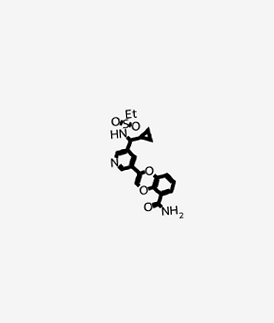 CCS(=O)(=O)NC(c1cncc(C2=COc3c(cccc3C(N)=O)O2)c1)C1CC1